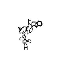 N#CC[C@H](C[C@@H]1CCNC1=O)NC(=O)[C@H](CC1CC1)NC(=O)c1cc2ccccc2[nH]1